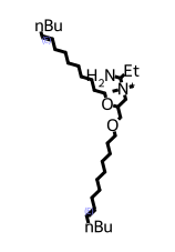 CCCC/C=C/CCCCCCCCOCC(C[N+](C)(C)C(N)CC)OCCCCCCCC/C=C/CCCC